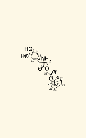 CC(N)(Cc1ccc(O)c(O)c1)C(=O)OCC(=O)OC12CC3CC(CC(C3)C1)C2